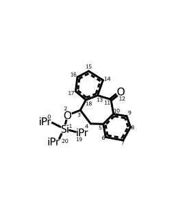 CC(C)[Si](OC1Cc2ccccc2C(=O)c2ccccc21)(C(C)C)C(C)C